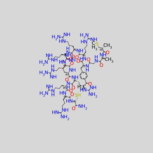 CSC[C@H](C)C(=O)N[C@@H](C)C(=O)NCC(=O)N[C@@H](Cc1ccc(C(C)=O)cc1)C(=O)N[C@H](CCCNC(=N)N)C(=O)N[C@H](CCCNC(=N)N)C(=O)N[C@H](CCCNC(=N)N)C(=O)N[C@H](CCCNC(=N)N)C(=O)N[C@H](CCCNC(=N)N)C(=O)N[C@H](CCCNC(=N)N)C(=O)N[C@H](CCCNC(=N)N)C(=O)N[C@H](CCCNC(=N)N)C(=O)N[C@H](CS)C(N)=O